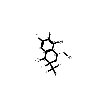 CC[C@@H]1CC(O)(C(F)(F)F)C(C)c2cc(F)c(F)c(O)c21